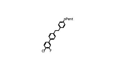 CCCCCc1ccc(CCc2ccc(-c3ccc(Cl)c(F)c3)cc2)cc1